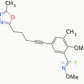 CO/N=C(\F)c1cc(C#CCCCc2nnc(C)o2)cc(C)c1OC